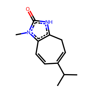 CC(C)C1=CCc2[nH]c(=O)n(C)c2C=C1